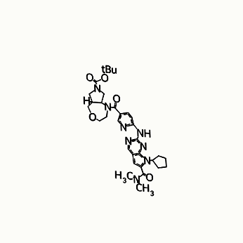 CN(C)C(=O)c1cc2cnc(Nc3ccc(C(=O)N4CCOC[C@@H]5CN(C(=O)OC(C)(C)C)CC54)cn3)nc2n1C1CCCC1